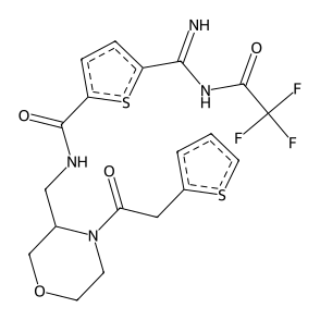 N=C(NC(=O)C(F)(F)F)c1ccc(C(=O)NCC2COCCN2C(=O)Cc2cccs2)s1